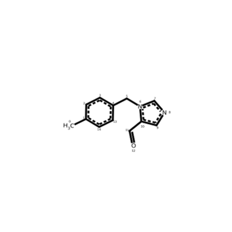 Cc1ccc(Cn2cncc2C=O)cc1